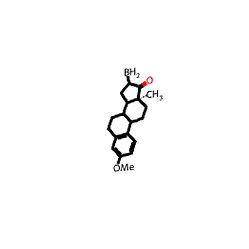 BC1CC2C3CCc4cc(OC)ccc4C3CC[C@]2(C)C1=O